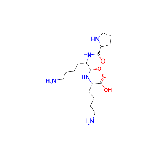 NCCCC[C@H](NC(=O)[C@H](CCCCN)NC(=O)[C@@H]1CCCN1)C(=O)O